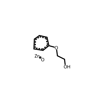 OCCOc1ccccc1.[O]=[Zn]